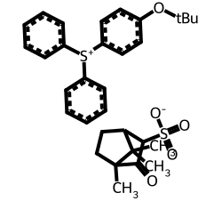 CC(C)(C)Oc1ccc([S+](c2ccccc2)c2ccccc2)cc1.CC12CCC(C(S(=O)(=O)[O-])C1=O)C2(C)C